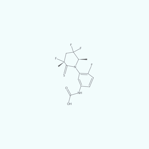 C[C@H]1N(c2cc(NC(=O)O)ccc2F)C(=S)[C@](C)(F)CC1(F)F